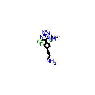 CC(C)[C@@H](C)Nc1c(-c2c(F)cc(C#CCCN)cc2F)c(Cl)nc2ncnn12